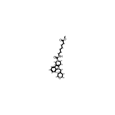 COC(=O)CCCCCCNC(=O)N1CCc2c(c3ccccc3n2CC2CCOCC2)C1